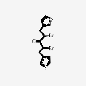 O=C(C(Br)Cc1ccsc1)C(Br)Cc1ccsc1